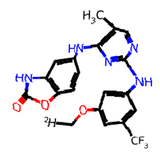 [2H]COc1cc(Nc2ncc(C)c(Nc3ccc4oc(=O)[nH]c4c3)n2)cc(C(F)(F)F)c1